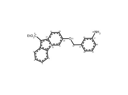 CCOC(=O)c1c2ccccc2n2cc(OCc3cccc(N)c3)ccc12